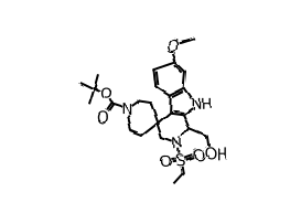 CCS(=O)(=O)N1CC2(CCN(C(=O)OC(C)(C)C)CC2)c2c([nH]c3cc(OC)ccc23)C1CO